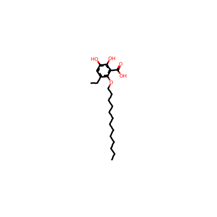 CCCCCCCCCCCCCOc1c(CC)cc(O)c(O)c1C(=O)O